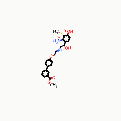 COC(=O)c1cccc(-c2ccc(OCCNC[C@H](O)c3ccc(O)c(S(C)(=O)=O)c3N)cc2)c1